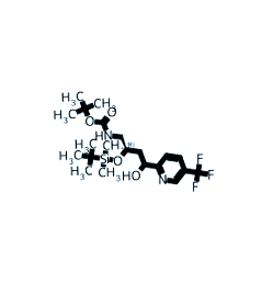 CC(C)(C)OC(=O)NC[C@@H](CC(O)c1ccc(C(F)(F)F)cn1)O[Si](C)(C)C(C)(C)C